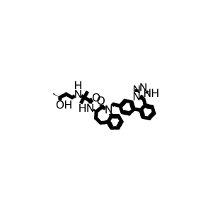 C[C@@H](O)CCNC(C)(C)C(=O)N[C@@H]1CCc2ccccc2N(Cc2ccc(-c3ccccc3-c3nnn[nH]3)cc2)C1=O